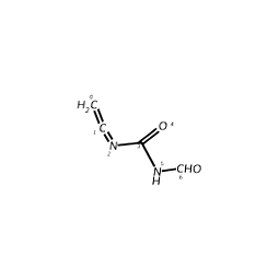 C=C=NC(=O)NC=O